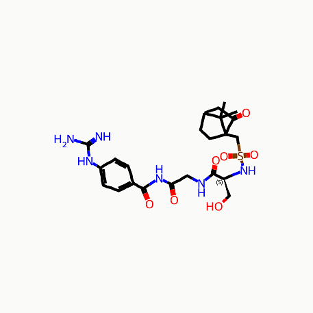 CC1(C)C2CCC1(CS(=O)(=O)N[C@@H](CO)C(=O)NCC(=O)NC(=O)c1ccc(NC(=N)N)cc1)C(=O)C2